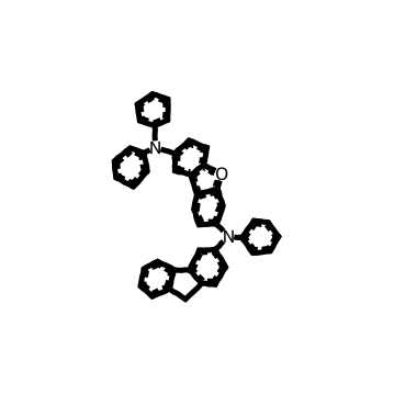 c1ccc(N(c2ccc3c(c2)-c2ccccc2C3)c2ccc3c(c2)oc2ccc(N(c4ccccc4)c4ccccc4)cc23)cc1